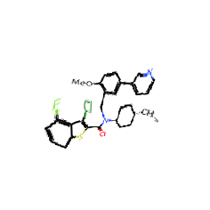 COc1ccc(-c2cccnc2)cc1CN(C(=O)c1sc2cccc(F)c2c1Cl)[C@H]1CC[C@H](C)CC1